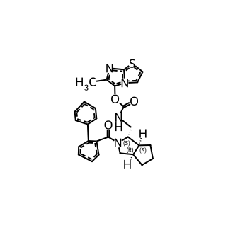 Cc1nc2sccn2c1OC(=O)NC[C@@H]1[C@H]2CCC[C@H]2CN1C(=O)c1ccccc1-c1ccccc1